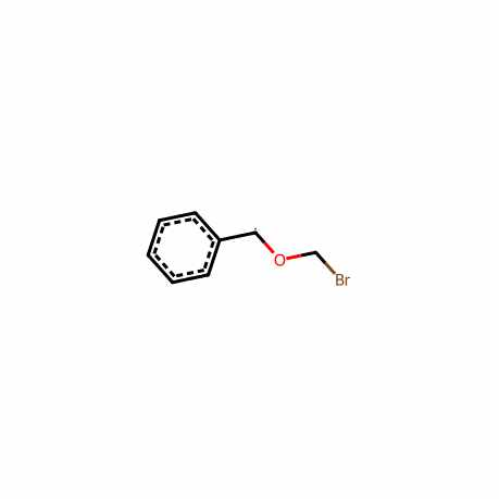 BrCO[CH]c1ccccc1